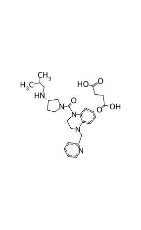 CC(C)CN[C@H]1CCN(C(=O)N2CCN(Cc3ccccn3)c3ccccc32)C1.O=C(O)CCC(=O)O